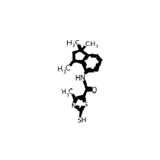 Cc1nc(S)sc1C(=O)Nc1cccc2c1C(C)CC2(C)C